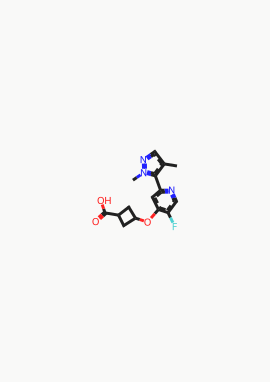 Cc1cnn(C)c1-c1cc(OC2CC(C(=O)O)C2)c(F)cn1